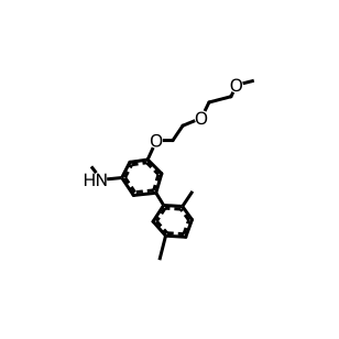 CNc1cc(OCCOCCOC)cc(-c2cc(C)ccc2C)c1